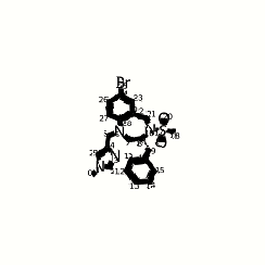 Cn1cnc(CN2C[C@@H](Cc3ccccc3)N(S(C)(=O)=O)Cc3cc(Br)ccc32)c1